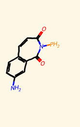 Nc1ccc2ccc(=O)n(P)c(=O)c2c1